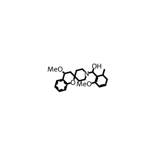 COC1=C(C(O)N2CCC3(CC2)CC(OC)c2ccccc2O3)C(C)CC=C1